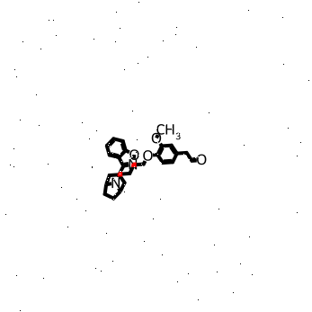 COc1cc(CC=O)ccc1OCCCCN1C2CCC1CC(c1noc3ccccc13)C2